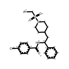 CC(C)CS(=O)(=O)N1CCC(CC(NC(=O)c2ccc(Cl)cc2)c2ccccc2)CC1